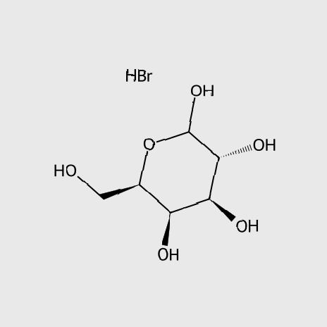 Br.OC[C@H]1OC(O)[C@H](O)[C@@H](O)[C@H]1O